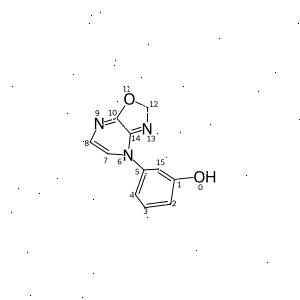 Oc1cccc(N2C=CN=C3OCN=C32)c1